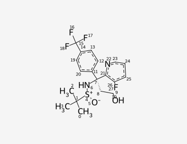 CC(C)(C)[S@@+]([O-])N[C@@](CCO)(c1ccc(C(F)(F)F)cc1)c1ncccc1F